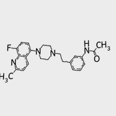 CC(=O)Nc1cccc(CCN2CCN(c3ccc(F)c4nc(C)ccc34)CC2)c1